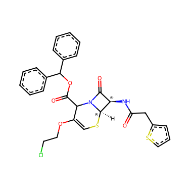 O=C(Cc1cccs1)N[C@@H]1C(=O)N2C(C(=O)OC(c3ccccc3)c3ccccc3)C(OCCCl)=CS[C@H]12